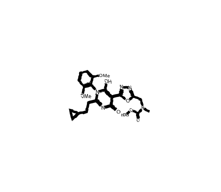 COc1cccc(OC)c1-n1c(CCC2CC2)nc(=O)c(-c2nnc(CN(C)C(=O)OC(C)(C)C)o2)c1O